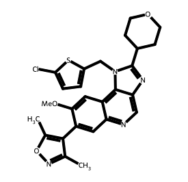 COc1cc2c(cc1-c1c(C)noc1C)ncc1nc(C3CCOCC3)n(Cc3ccc(Cl)s3)c12